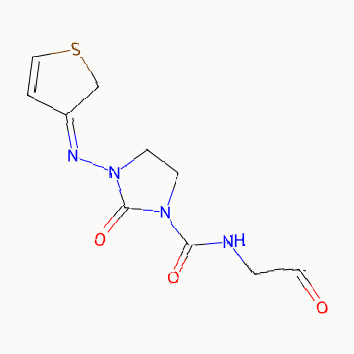 O=[C]CNC(=O)N1CCN(N=C2C=CSC2)C1=O